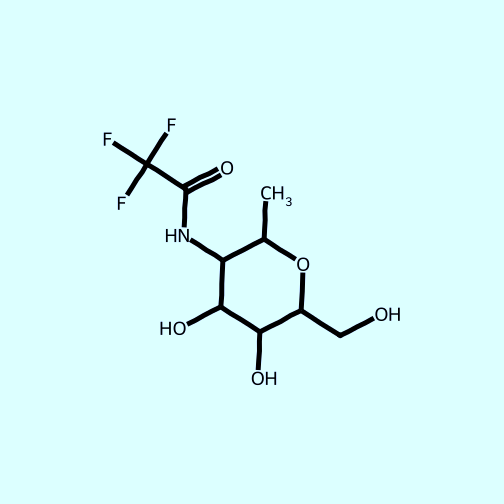 CC1OC(CO)C(O)C(O)C1NC(=O)C(F)(F)F